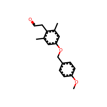 COc1ccc(COc2cc(C)c(CC=O)c(C)c2)cc1